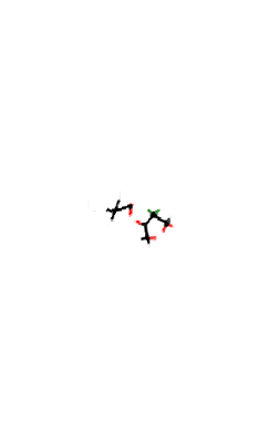 CCC(C)(C)C(=O)OC1C(C)(C)OC(O)(C(F)(F)F)C1(F)F